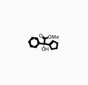 COC(=O)[C@@](O)(C1=CCCC1)c1ccccc1